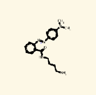 CN(C)c1ccc(/N=N/c2ccccc2C(=O)NCCCCN)cc1